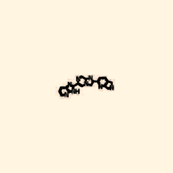 C1=NCc2ccc(C3=NC4C=NC(c5nc6cccnc6[nH]5)=CN4C3)nc21